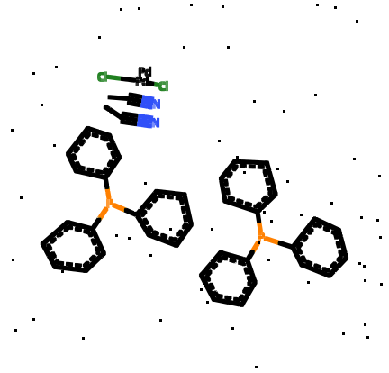 CC#N.CC#N.[Cl][Pd][Cl].[Pd].c1ccc(P(c2ccccc2)c2ccccc2)cc1.c1ccc(P(c2ccccc2)c2ccccc2)cc1